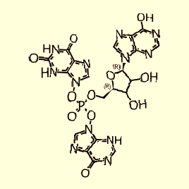 O=c1[nH]c(=O)c2ncn(OP(=O)(OC[C@H]3O[C@@H](n4cnc5c(O)ncnc54)C(O)C3O)On3cnc4c(=O)nc[nH]c43)c2[nH]1